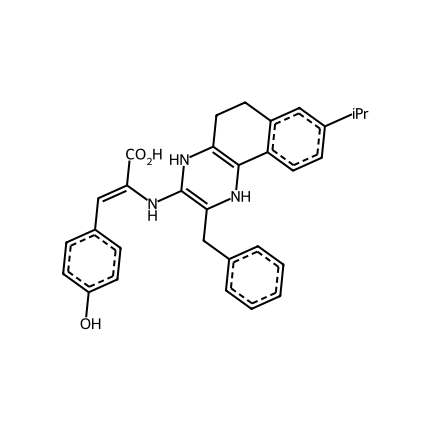 CC(C)c1ccc2c(c1)CCC1=C2NC(Cc2ccccc2)=C(N/C(=C\c2ccc(O)cc2)C(=O)O)N1